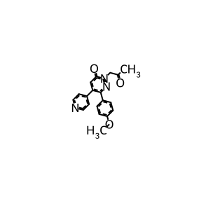 COc1ccc(-c2nn(CC(C)=O)c(=O)cc2-c2ccncc2)cc1